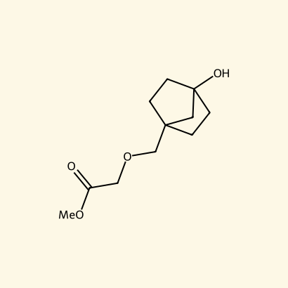 COC(=O)COCC12CCC(O)(CC1)C2